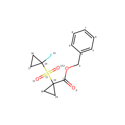 O=C(OCc1ccccc1)C1(S(=O)(=O)C2(F)CC2)CC1